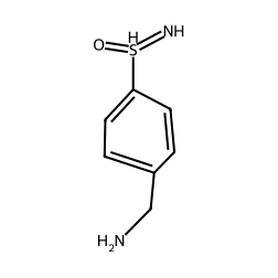 N=[SH](=O)c1ccc(CN)cc1